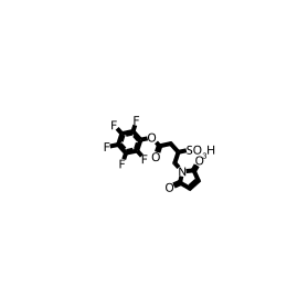 O=C(CC(CN1C(=O)C=CC1=O)S(=O)(=O)O)Oc1c(F)c(F)c(F)c(F)c1F